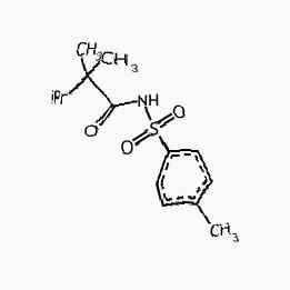 Cc1ccc(S(=O)(=O)NC(=O)C(C)(C)C(C)C)cc1